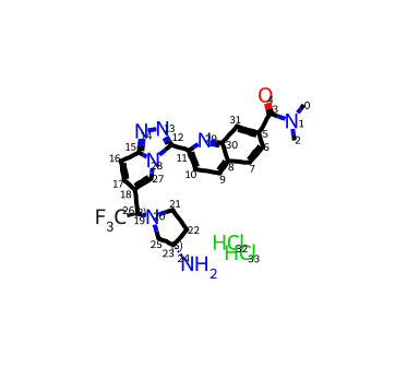 CN(C)C(=O)c1ccc2ccc(-c3nnc4ccc([C@@H](N5CC[C@H](N)C5)C(F)(F)F)cn34)nc2c1.Cl.Cl